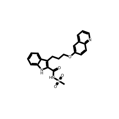 CS(=O)(=O)NC(=O)c1[nH]c2ccccc2c1CCCOc1ccc2ncccc2c1